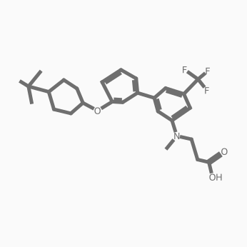 CN(CCC(=O)O)c1cc(-c2cccc(OC3CCC(C(C)(C)C)CC3)c2)cc(C(F)(F)F)c1